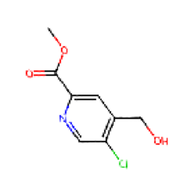 COC(=O)c1cc(CO)c(Cl)cn1